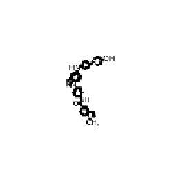 Cn1ccc2cc(C(=O)Nc3ccc(-n4ncc5cc(Nc6ccc(N7CCC(O)CC7)cc6)ccc54)cc3)ccc21